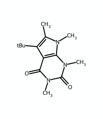 Cc1c(C(C)(C)C)c2c(=O)n(C)c(=O)n(C)c2n1C